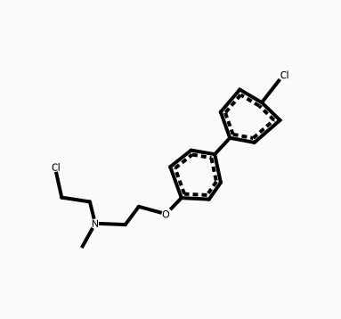 CN(CCCl)CCOc1ccc(-c2ccc(Cl)cc2)cc1